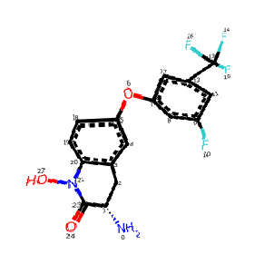 N[C@H]1Cc2cc(Oc3cc(F)cc(C(F)(F)F)c3)ccc2N(O)C1=O